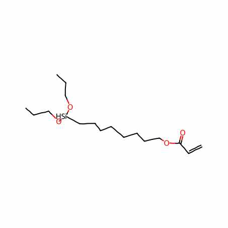 C=CC(=O)OCCCCCCCC[SiH](OCCC)OCCC